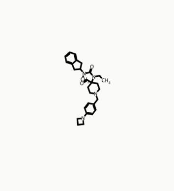 CCN(C(=O)N(C)C1Cc2ccccc2C1)C1(C=O)CCN(Cc2ccc(N3CCC3)cc2)CC1